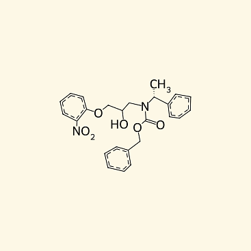 C[C@H](c1ccccc1)N(CC(O)COc1ccccc1[N+](=O)[O-])C(=O)OCc1ccccc1